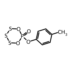 Cc1ccc(OP2(=O)OSSSO2)cc1